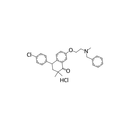 CN(CCOc1ccc2c(c1)C(=O)C(C)(C)CC2c1ccc(Cl)cc1)Cc1ccccc1.Cl